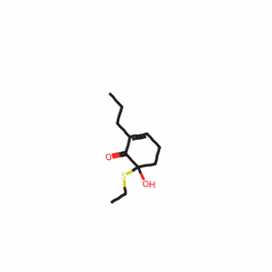 CCCC1=CCCC(O)(SCC)C1=O